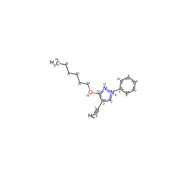 C#Cc1cn(-c2ccccc2)nc1OCCCCCC